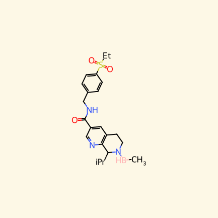 CBN1CCc2cc(C(=O)NCc3ccc(S(=O)(=O)CC)cc3)cnc2C1C(C)C